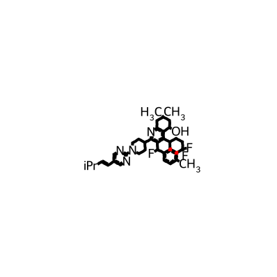 Cc1ccc(C(F)c2c(C3CCN(c4ncc(/C=C/C(C)C)cn4)CC3)nc3c(c2C2CCC(F)(F)CC2)C(O)CC(C)(C)C3)cc1